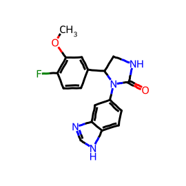 COc1cc(C2CNC(=O)N2c2ccc3[nH]cnc3c2)ccc1F